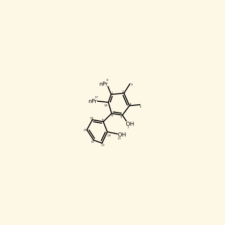 CCCc1c(C)c(C)c(O)c(-c2ccccc2O)c1CCC